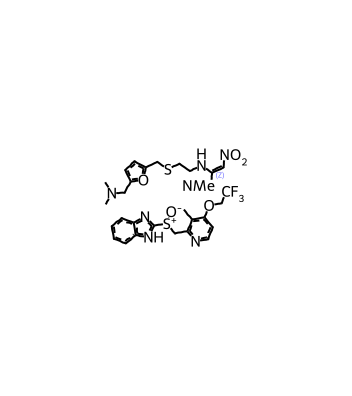 CN/C(=C/[N+](=O)[O-])NCCSCc1ccc(CN(C)C)o1.Cc1c(OCC(F)(F)F)ccnc1C[S+]([O-])c1nc2ccccc2[nH]1